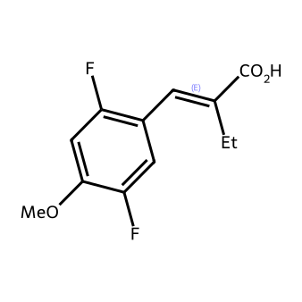 CC/C(=C\c1cc(F)c(OC)cc1F)C(=O)O